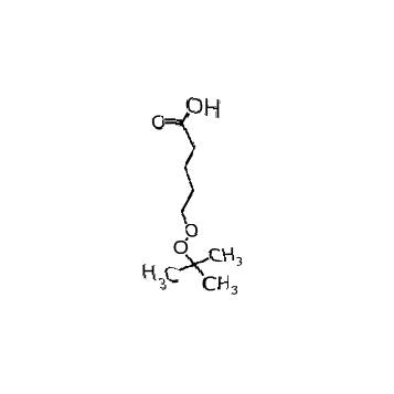 CC(C)(C)OOCCCCC(=O)O